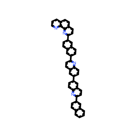 c1ccc2cc(-c3ccc4cc(-c5ccc6nc(-c7ccc8cc(-c9ccc%10ccc%11cccnc%11c%10n9)ccc8c7)ccc6c5)ccc4n3)ccc2c1